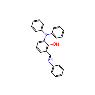 Oc1c(/C=N/c2ccccc2)cccc1N(c1ccccc1)c1ccccc1